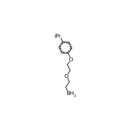 BCCOCCOc1ccc(C(C)C)cc1